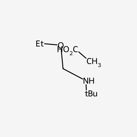 CC(=O)O.CCOCNC(C)(C)C